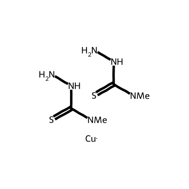 CNC(=S)NN.CNC(=S)NN.[Cu]